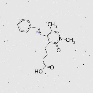 Cc1cn(C)c(=O)c(CCCC(=O)O)c1/C=C/c1ccccc1